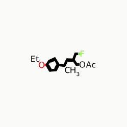 CCOc1ccc(C(C)C=C(CF)COC(C)=O)cc1